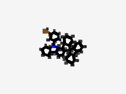 Brc1cccc(-n2c3ccccc3c3ccc4c(c32)-c2ccccc2C42c3ccccc3-c3ccccc32)c1